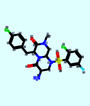 CC(C)N1CC2N(C(=O)C(N)CN2S(=O)(=O)c2cc(F)ccc2Cl)C(Cc2ccc(Cl)cc2)C1=O